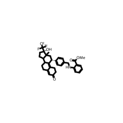 COC(=O)c1ccccc1NCc1ccc([C@H]2CC3(C)C(CC[C@@]3(O)C(F)(F)C(F)(F)F)C3CCC4=CC(=O)CCC4=C32)cc1